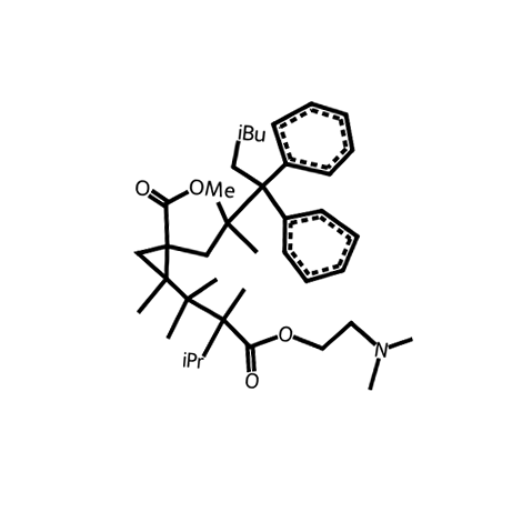 CCC(C)CC(c1ccccc1)(c1ccccc1)C(C)(C)CC1(C(=O)OC)CC1(C)C(C)(C)C(C)(C(=O)OCCN(C)C)C(C)C